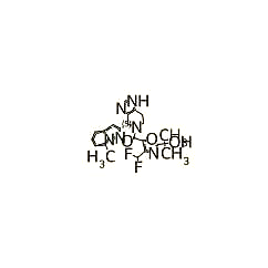 Cc1cccc2cc([C@@H]3c4nc[nH]c4CCN3C(=O)c3oc(C(C)(C)O)nc3C(F)F)nn12